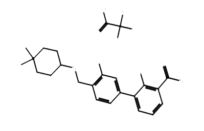 CC1(C)CCC(NCc2ccc(-c3cccc(C(N)=O)c3Cl)cc2F)CC1.O=C(O)C(F)(F)F